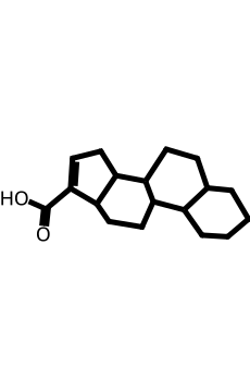 O=C(O)C1=CCC2C1CCC1C3CCCCC3CCC21